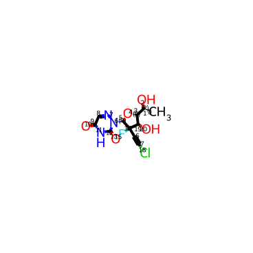 C[C@@H](O)[C@H]1O[C@@H](n2ncc(=O)[nH]c2=O)C(F)(C#CCl)C1O